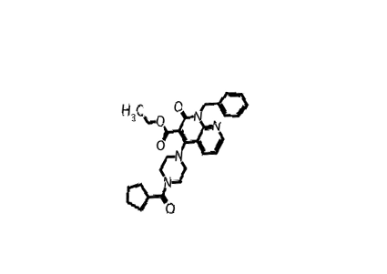 CCOC(=O)c1c(N2CCN(C(=O)C3CCCC3)CC2)c2cccnc2n(Cc2ccccc2)c1=O